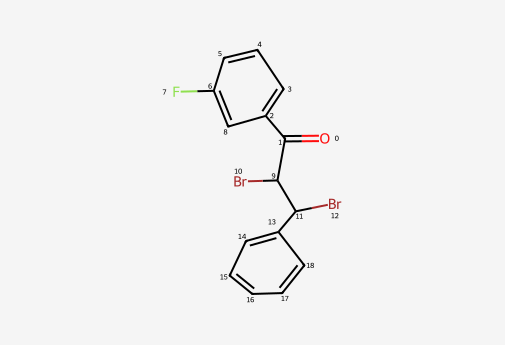 O=C(c1cccc(F)c1)C(Br)C(Br)c1ccccc1